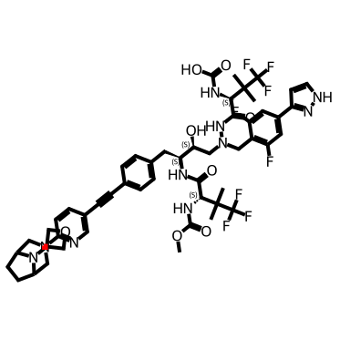 COC(=O)N[C@H](C(=O)N[C@@H](Cc1ccc(C#Cc2ccc(N3CC4CCC(C3)N4C3COC3)nc2)cc1)[C@@H](O)CN(Cc1c(F)cc(-c2cc[nH]n2)cc1F)NC(=O)[C@@H](NC(=O)O)C(C)(C)C(F)(F)F)C(C)(C)C(F)(F)F